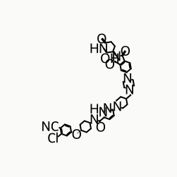 N#Cc1ccc(O[C@H]2CC[C@H](NC(=O)c3ccc(N4CCC(CN5CCN(c6ccc7c(c6)C(=O)N(C6CCC(=O)NC6O)C7=O)CC5)CC4)nn3)CC2)cc1Cl